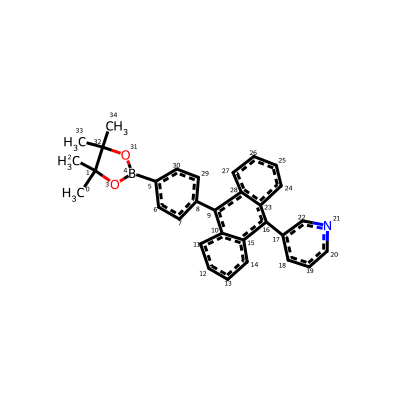 CC1(C)OB(c2ccc(-c3c4ccccc4c(-c4cccnc4)c4ccccc34)cc2)OC1(C)C